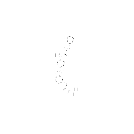 CC(C)C(=O)Nc1cccc(S(=O)(=O)c2ccc(NC(=O)NCc3cccnc3)cc2)c1